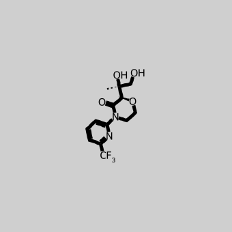 C[C@](O)(CO)[C@H]1OCCN(c2cccc(C(F)(F)F)n2)C1=O